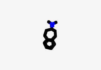 CN(C)C1CCc2ccccc2CC1